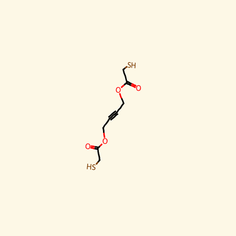 O=C(CS)OCC#CCOC(=O)CS